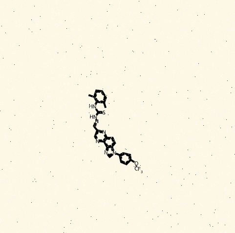 Cc1cccc(C)c1NC(=S)NN=Cc1cnc2c(ccc3c2ncn3-c2ccc(OC(F)(F)F)cc2)n1